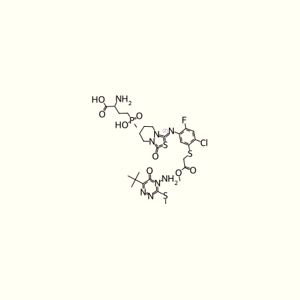 COC(=O)CSc1cc(/N=c2\sc(=O)n3n2CCCC3)c(F)cc1Cl.CP(=O)(O)CCC(N)C(=O)O.CSc1nnc(C(C)(C)C)c(=O)n1N